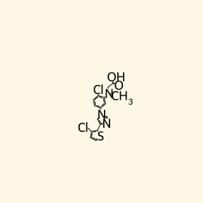 CN(CC(=O)O)c1cc(-n2cnc(-c3sccc3Cl)c2)ccc1Cl